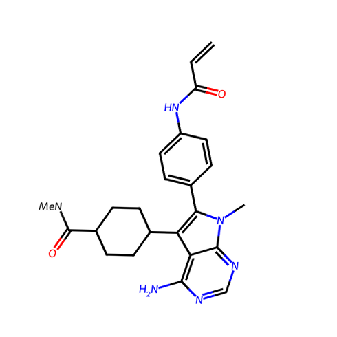 C=CC(=O)Nc1ccc(-c2c(C3CCC(C(=O)NC)CC3)c3c(N)ncnc3n2C)cc1